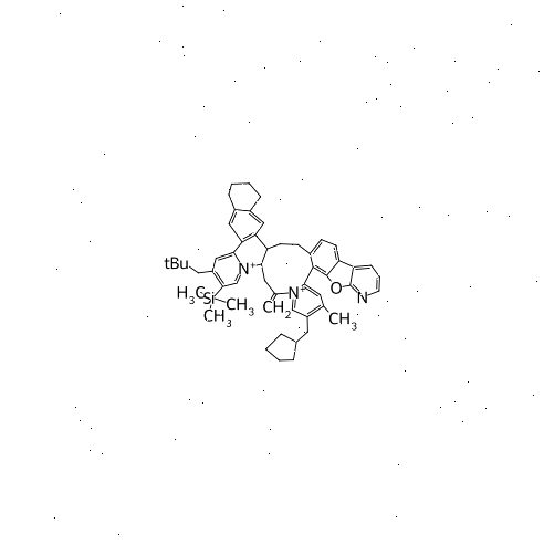 C=C1CC2C(CCc3ccc4c(oc5ncccc54)c3-c3cc(C)c(CC4CCCC4)c[n+]31)c1cc3c(cc1-c1cc(CC(C)(C)C)c([Si](C)(C)C)c[n+]12)CCCC3